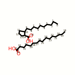 CCCCCCCCCCC1CCCC1C(=O)O.CCCCCCCCCCCCCCCC(=O)O